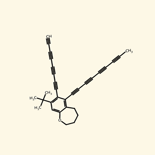 C#CC#CC#CC#Cc1c(C(C)(C)C)cc2c(c1C#CC#CC#CC#CC)CCCCO2